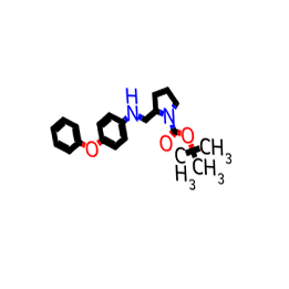 CC(C)(C)OC(=O)N1CCCC1CNc1ccc(Oc2ccccc2)cc1